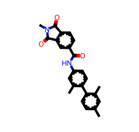 Cc1ccc(-c2ccc(NC(=O)c3ccc4c(c3)C(=O)N(C)C4=O)cc2C)c(C)c1